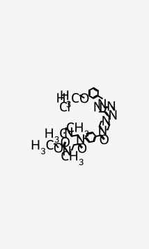 CCOC(=O)N(C)CCC(=O)N(CCN(C)C)c1ccc(C(=O)N2CCN(c3ncnc4c3cnn4Cc3cccc(OCC)c3)CC2)cc1.Cl